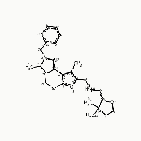 Cc1c(CNCC2OCCC2(C)C)oc2c1C1=NN(Cc3ccccn3)C(C)C1CC2